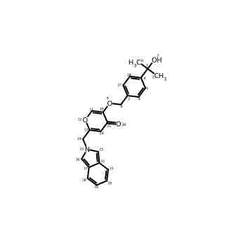 CC(C)(O)c1ccc(COc2coc(Cn3cc4ccccc4c3)cc2=O)cc1